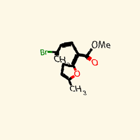 C=C(Br)/C=C\C(C(=O)OC)=C1/CC=C(C)O1